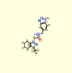 Cn1nnc2cc(CNC(=O)Cn3nc(C(F)(F)F)c4c3CCCC4)ccc21